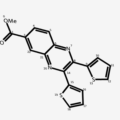 COC(=O)c1ccc2nc(-c3cccs3)c(-c3cccs3)nc2c1